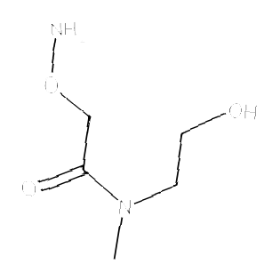 CN(CCO)C(=O)CON